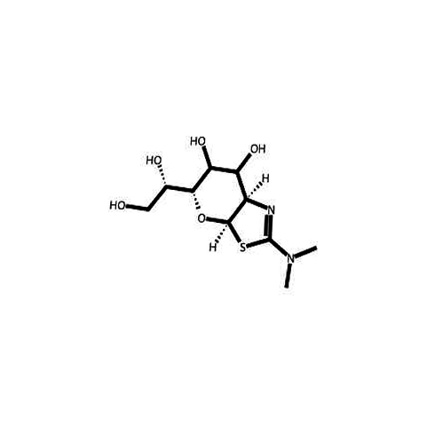 CN(C)C1=N[C@@H]2C(O)C(O)[C@@H]([C@@H](O)CO)O[C@@H]2S1